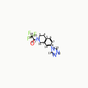 O=C(N1CCc2ccc(-n3cnnc3)cc2C1)C(F)(F)F